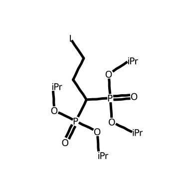 CC(C)OP(=O)(OC(C)C)C(CCI)P(=O)(OC(C)C)OC(C)C